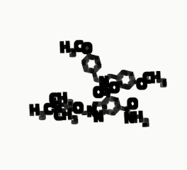 COc1ccc(CN(Cc2ccc(OC)cc2)S(=O)(=O)c2cc(C(N)=O)cc3nn(COCC[Si](C)(C)C)cc23)cc1